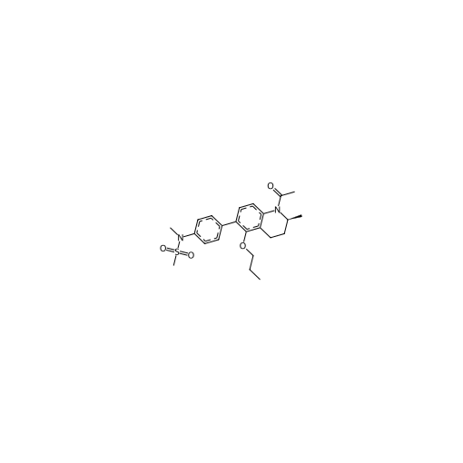 CCCOc1c(-c2ccc(N(C)S(C)(=O)=O)cc2)ccc2c1CC[C@H](C)N2C(C)=O